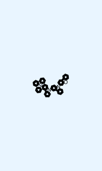 c1ccc([Si](c2ccccc2)(c2ccccc2)c2ccc3c(c2)c2ccccc2n3-c2ccc3c(c2)c2ccccc2n3-c2ccc3c(c2)oc2ccccc23)cc1